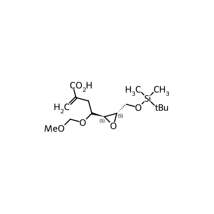 C=C(CC(OCOC)[C@@H]1O[C@H]1CO[Si](C)(C)C(C)(C)C)C(=O)O